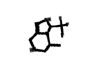 CC1CNCC2=NNC(C(F)(F)F)N21